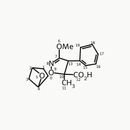 C1CC2CC1O2.COC1=NOC(C)(C(=O)O)C1c1ccccc1